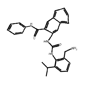 CC(C)c1cccc(CN)c1NC(=O)Nc1cc2ccccc2cc1C(=O)Nc1cc[c]cc1